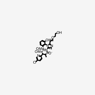 COc1cccc(OC)c1-n1c(CCOCCO)nnc1N[S+]([O-])C(C)C(OC)c1ccc(Cl)cn1